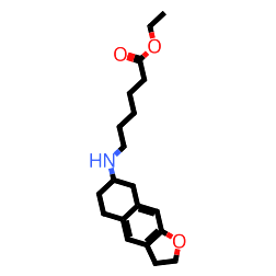 CCOC(=O)CCCCCNC1CCc2cc3c(cc2C1)OCC3